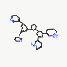 C1=CNCC(c2cc(C3=CNCC=C3)cc(-c3cccc(-c4cc(-c5cccnc5)cc(-c5cccnc5)c4)c3)c2)=C1